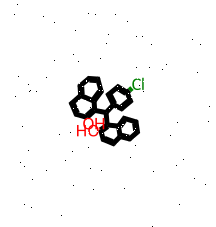 Oc1ccc2ccccc2c1C(c1ccc(Cl)cc1)c1c(O)ccc2ccccc12